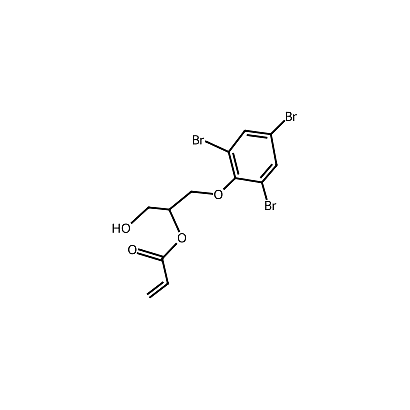 C=CC(=O)OC(CO)COc1c(Br)cc(Br)cc1Br